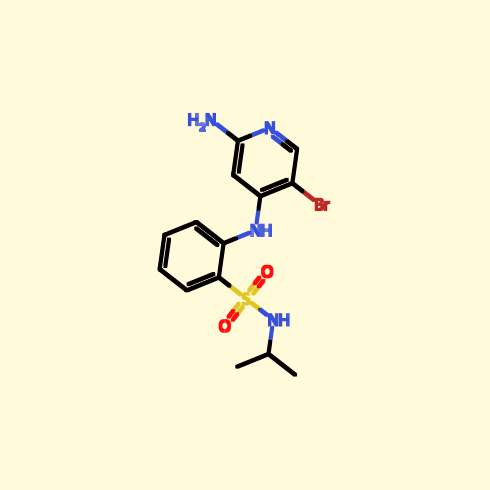 CC(C)NS(=O)(=O)c1ccccc1Nc1cc(N)ncc1Br